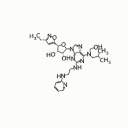 CCc1cc([C@H]2O[C@@H](n3cnc4c(N(CO)CC(C)C)nc(NCCNc5ccccn5)nc43)[C@H](O)[C@@H]2O)on1